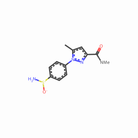 CNC(=O)c1cc(C)n(-c2ccc([S+](N)[O-])cc2)n1